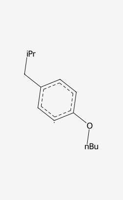 CCCCOc1[c]cc(CC(C)C)cc1